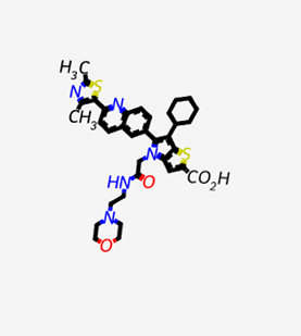 Cc1nc(C)c(-c2ccc3cc(-c4c(C5CCCCC5)c5sc(C(=O)O)cc5n4CC(=O)NCCN4CCOCC4)ccc3n2)s1